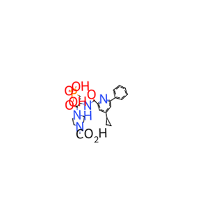 O=C(N[C@@H](CP(=O)(O)O)C(=O)N1CCN(C(=O)O)CC1)c1cc(C2CC2)cc(-c2ccccc2)n1